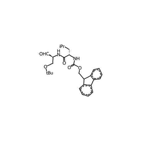 CC(C)C[C@H](NC(=O)OCC1c2ccccc2-c2ccccc21)C(=O)N[C@H]([C]=O)COC(C)(C)C